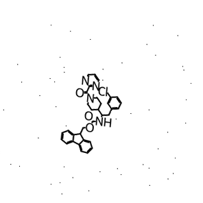 O=C(NC(Cc1cccc(Cl)c1)C1CCN(C(=O)c2ncccn2)CC1)OCC1c2ccccc2-c2ccccc21